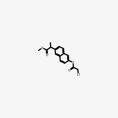 COC(=O)C(C)c1ccc2cc(OC(=O)CCl)ccc2c1